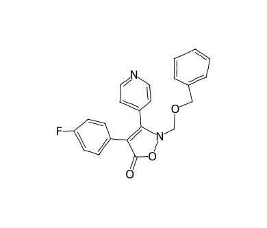 O=c1on(COCc2ccccc2)c(-c2ccncc2)c1-c1ccc(F)cc1